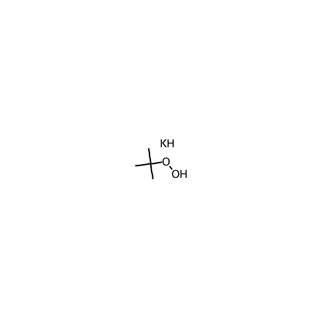 CC(C)(C)OO.[KH]